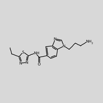 CCc1nnc(NC(=O)c2ccc3c(c2)ncn3CCCN)s1